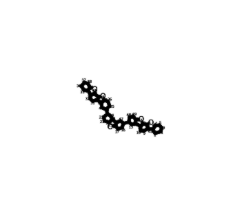 c1ccc2c(c1)oc1c2ccc2c3cc(-c4ccc5oc6ccc(-c7ccc8oc9c(ccc%10c%11ccccc%11oc%109)c8c7)cc6c5c4)ccc3oc21